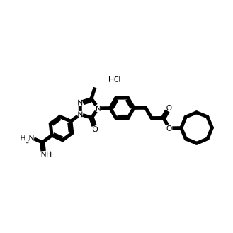 Cc1nn(-c2ccc(C(=N)N)cc2)c(=O)n1-c1ccc(CCC(=O)OC2CCCCCCC2)cc1.Cl